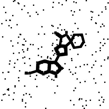 CSc1ncc2c(-c3cc4c(s3)C(=O)NC43CCCCC3)n[nH]c2n1